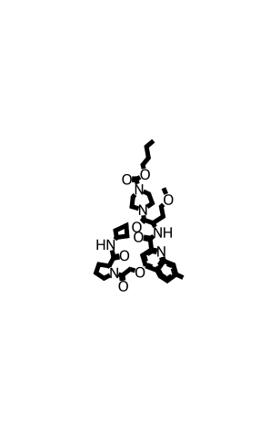 CCCCOC(=O)N1CCN(C(=O)C(CCOC)NC(=O)c2cc(OCC(=O)N3CCCC3C(=O)NC3CCC3)c3ccc(C)cc3n2)CC1